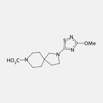 COc1nsc(N2CCC3(CCN(C(=O)O)CC3)C2)n1